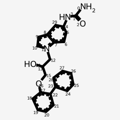 NC(=O)Nc1ccc2c(ccn2CC(O)COc2ccccc2-c2ccccc2)c1